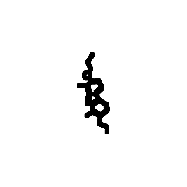 CCCOc1ccc2c(sc3c(C)c(CCC)ccc32)c1C